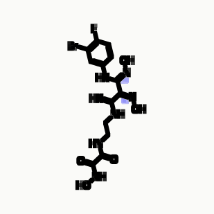 N=C(NCCNC(=O)C(=O)NO)C(=N\O)/C(=N/O)Nc1ccc(F)c(Br)c1